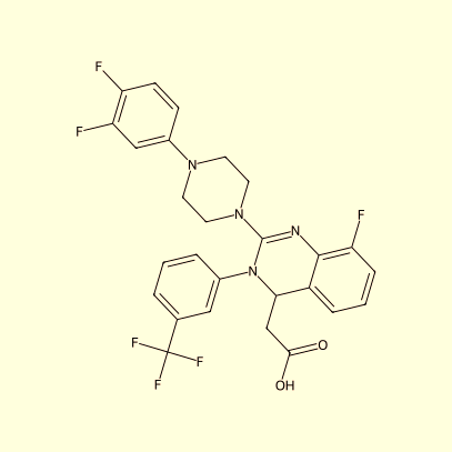 O=C(O)CC1c2cccc(F)c2N=C(N2CCN(c3ccc(F)c(F)c3)CC2)N1c1cccc(C(F)(F)F)c1